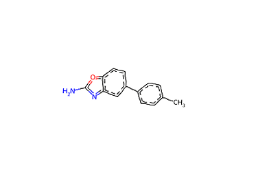 Cc1ccc(-c2ccc3oc(N)nc3c2)cc1